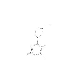 Nc1nc(=O)[nH]c([C@H]2CS[C@H](CO)O2)c1F